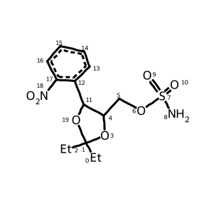 CCC1(CC)OC(COS(N)(=O)=O)C(c2ccccc2[N+](=O)[O-])O1